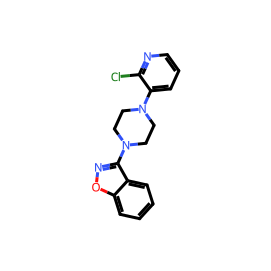 Clc1ncccc1N1CCN(c2noc3ccccc23)CC1